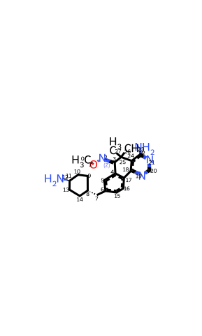 CO/N=C1\c2cc(C[C@H]3CC[C@H](N)CC3)ccc2-c2ncnc(N)c2C1(C)C